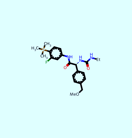 CCNC(=O)N[C@@H](C(=O)Nc1ccc(S(C)(C)C)c(F)c1)c1ccc(COC)cc1